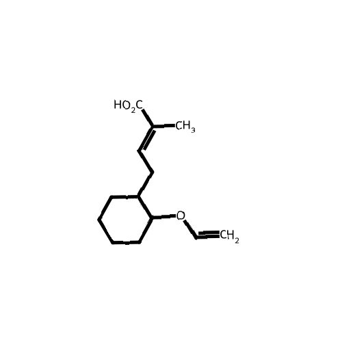 C=COC1CCCCC1CC=C(C)C(=O)O